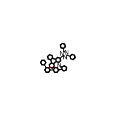 c1ccc(-c2cccc(-c3ccc4c5ccccc5n(-c5cc(-c6nc(-c7ccccc7)nc(-c7ccccc7)n6)cc6c7ccccc7c7ccccc7c56)c4c3)c2)cc1